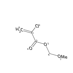 C=C(Cl)C(=O)OCOC